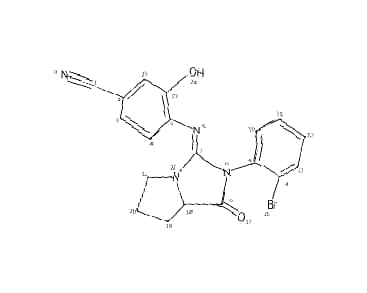 N#Cc1ccc(N=C2N(c3ccccc3Br)C(=O)C3CCCN23)c(O)c1